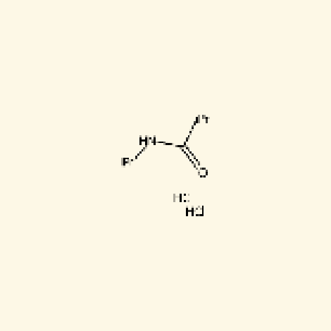 CC(C)NC(=O)C(C)C.Cl.Cl